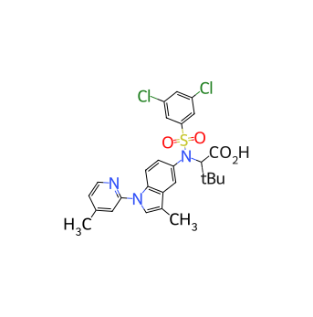 Cc1ccnc(-n2cc(C)c3cc(N(C(C(=O)O)C(C)(C)C)S(=O)(=O)c4cc(Cl)cc(Cl)c4)ccc32)c1